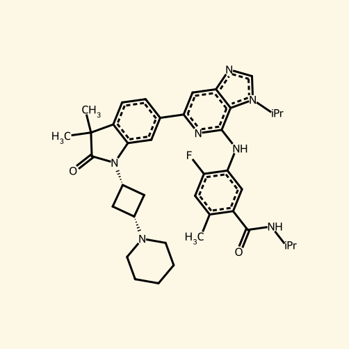 Cc1cc(F)c(Nc2nc(-c3ccc4c(c3)N([C@H]3C[C@@H](N5CCCCC5)C3)C(=O)C4(C)C)cc3ncn(C(C)C)c23)cc1C(=O)NC(C)C